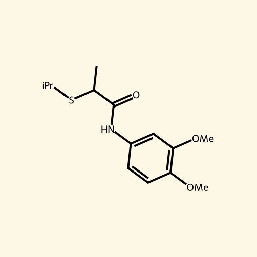 COc1ccc(NC(=O)C(C)SC(C)C)cc1OC